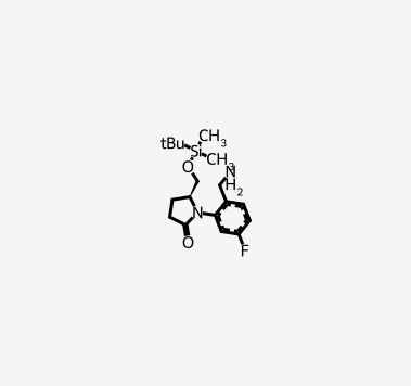 CC(C)(C)[Si](C)(C)OC[C@@H]1CCC(=O)N1c1cc(F)ccc1CN